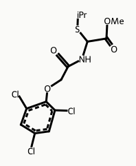 COC(=O)C(NC(=O)COc1c(Cl)cc(Cl)cc1Cl)SC(C)C